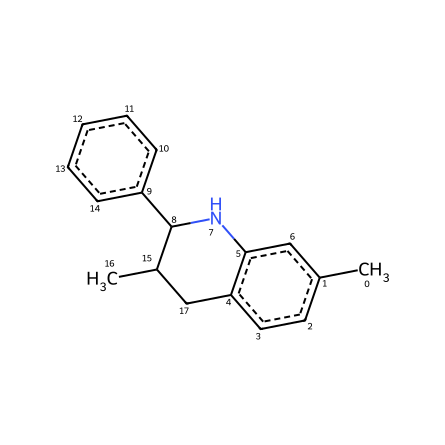 Cc1ccc2c(c1)NC(c1ccccc1)C(C)C2